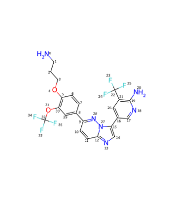 NCCCOc1ccc(-c2ccc3ncc(-c4cnc(N)c(C(F)(F)F)c4)n3n2)cc1OC(F)(F)F